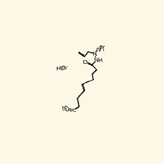 Br.C=CCN(CCC)NC(=O)CCCCCCCCCCCCCCCCC